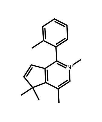 Cc1ccccc1-c1c2c(c(C)c[n+]1C)C(C)(C)C=C2